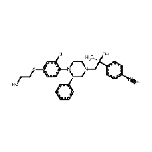 [C-]#[N+]c1ccc([C@](C)(O)CN2CCN(c3ccc(OCCO)cc3Cl)[C@H](c3ccccc3)C2)cc1